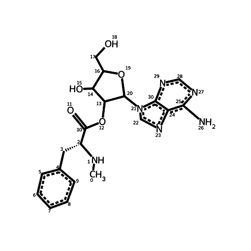 CN[C@H](Cc1ccccc1)C(=O)OC1C(O)C(CO)OC1n1cnc2c(N)ncnc21